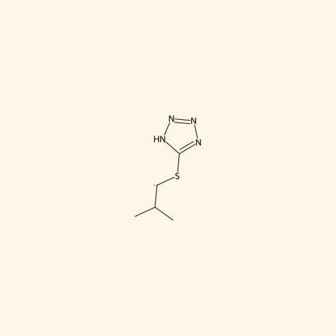 CC(C)[CH]Sc1nnn[nH]1